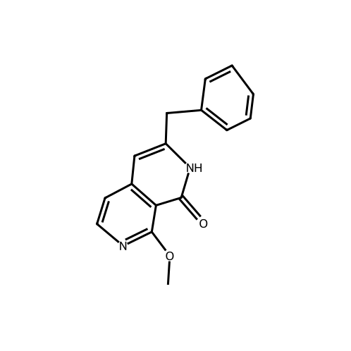 COc1nccc2cc(Cc3ccccc3)[nH]c(=O)c12